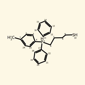 Cc1ccc([PH](CCCCS)(c2ccccc2)c2ccccc2)cc1